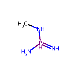 CN[PH](=N)N